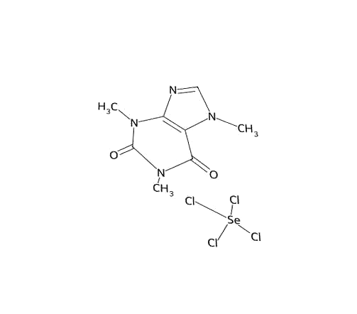 Cl[Se](Cl)(Cl)Cl.Cn1c(=O)c2c(ncn2C)n(C)c1=O